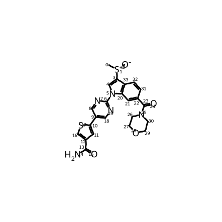 C[S+]([O-])c1cn(-c2ncc(-c3cc(C(N)=O)cs3)cn2)c2cc(C(=O)N3CCOCC3)ccc12